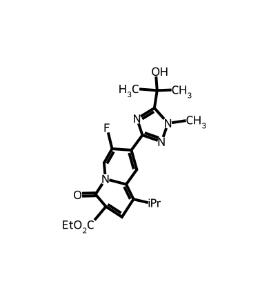 CCOC(=O)c1cc(C(C)C)c2cc(-c3nc(C(C)(C)O)n(C)n3)c(F)cn2c1=O